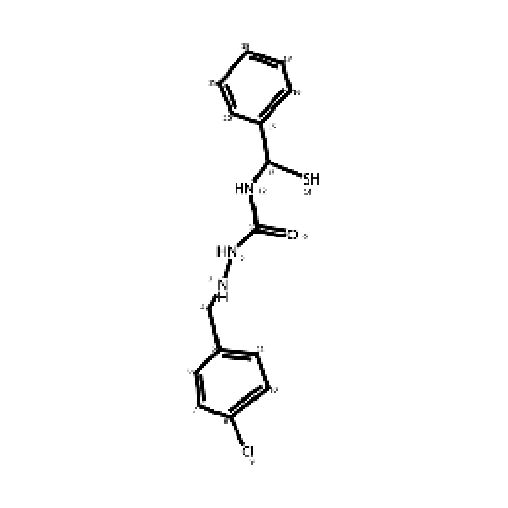 O=C(NNCc1ccc(Cl)cc1)NC(S)c1ccccc1